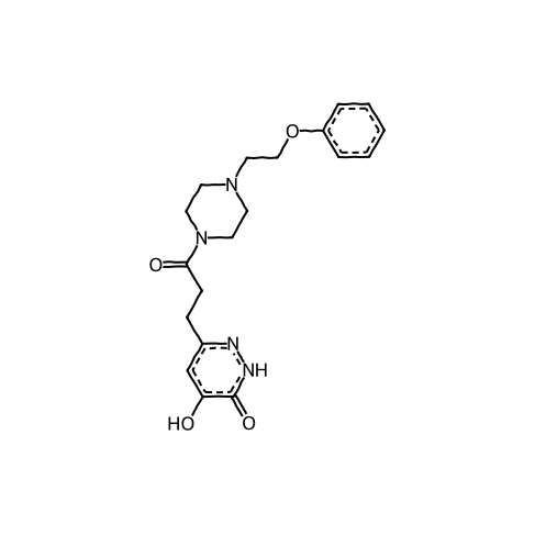 O=C(CCc1cc(O)c(=O)[nH]n1)N1CCN(CCOc2ccccc2)CC1